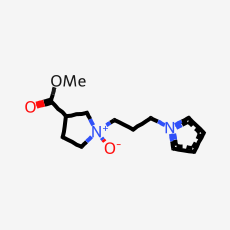 COC(=O)C1CC[N+]([O-])(CCCn2cccc2)C1